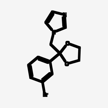 Brc1cccc(C2(Cn3ccnc3)OCCO2)c1